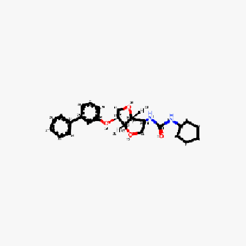 O=C(NC1CCCCC1)N[C@H]1CO[C@H]2[C@@H]1OC[C@@H]2Oc1cccc(-c2ccccc2)c1